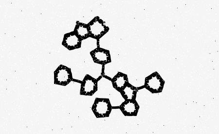 c1ccc(-c2cccc(N(c3ccc(-c4cccc5sc6ccccc6c45)cc3)c3ccc4c(c3)c3c(-c5ccccc5)cccc3n4-c3ccccc3)c2)cc1